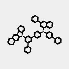 C1=Cc2cc3c4ccccc4n(-c4cc(-c5ccccc5)cc(-c5ccc(N(c6ccc(-c7ccccc7)cc6)c6cc(-c7ccccc7)cc7ccccc67)cc5)c4)c3cc2CC1